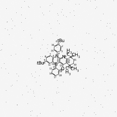 CC(C)(C)c1ccc(N2c3ccc(C(C)(C)C)cc3B3c4ccccc4Oc4c3c2nc2c4C(C)(C)CCC2(C)C)cc1